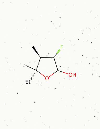 CC[C@@]1(C)OC(O)[C@H](F)[C@@H]1C